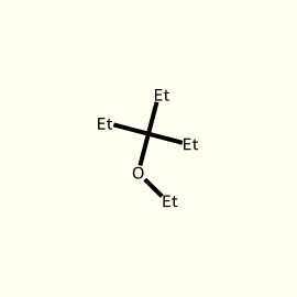 CCOC(CC)(CC)CC